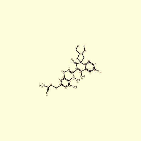 CCCCC1(CCCC)C(=O)C(C2=NSc3cc(CCC(N)=O)cc(O)c3N2O)=C(O)c2cc(F)ccc21